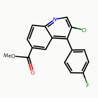 COC(=O)c1ccc2ncc(Cl)c(-c3ccc(F)cc3)c2c1